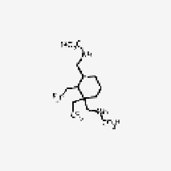 O=C(O)NCC1CCCC(CNC(=O)O)(CC(F)(F)F)C1CC(F)(F)F